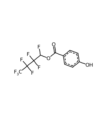 O=C(OC(F)C(F)(F)C(F)(F)C(F)(F)F)c1ccc(O)cc1